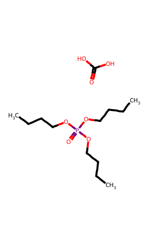 CCCCOP(=O)(OCCCC)OCCCC.O=C(O)O